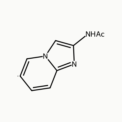 CC(=O)Nc1cn2c[c]ccc2n1